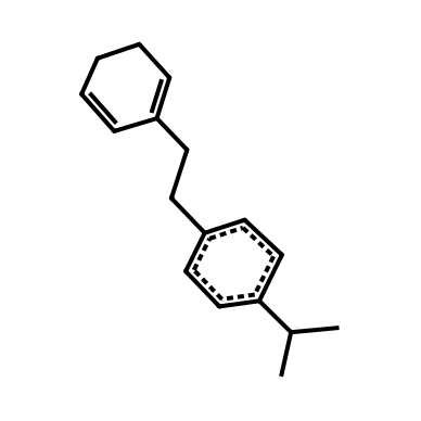 CC(C)c1ccc(CCC2=CCCC=C2)cc1